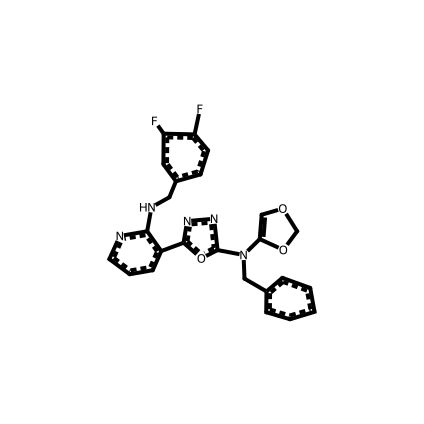 Fc1ccc(CNc2ncccc2-c2nnc(N(Cc3ccccc3)C3=COCO3)o2)cc1F